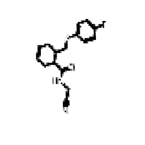 N#CCNC(=O)C1CC=CCC1CSc1ccc(F)cc1